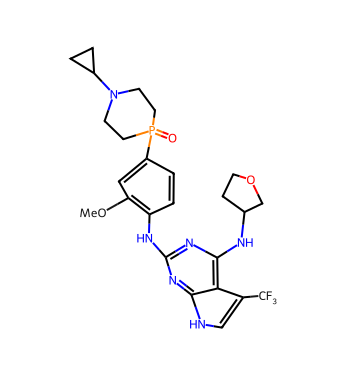 COc1cc(P2(=O)CCN(C3CC3)CC2)ccc1Nc1nc(NC2CCOC2)c2c(C(F)(F)F)c[nH]c2n1